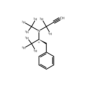 [2H]C([2H])([2H])[C@H](Cc1ccccc1)N(C([2H])([2H])[2H])C([2H])([2H])C#C